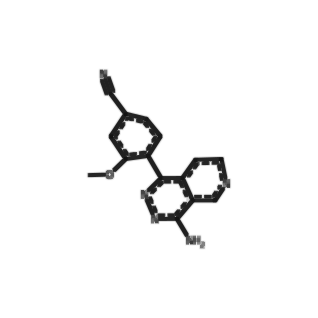 COc1cc(C#N)ccc1-c1nnc(N)c2cnccc12